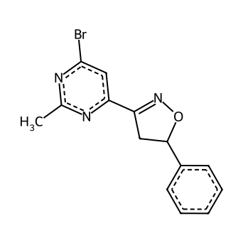 Cc1nc(Br)cc(C2=NOC(c3ccccc3)C2)n1